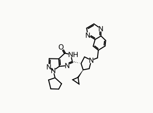 O=c1[nH]c([C@@H]2CN(Cc3ccc4nccnc4c3)C[C@H]2C2CC2)nc2c1cnn2C1CCCC1